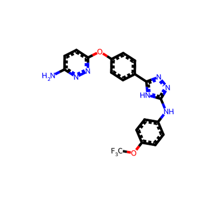 Nc1ccc(Oc2ccc(-c3nnc(Nc4ccc(OC(F)(F)F)cc4)[nH]3)cc2)nn1